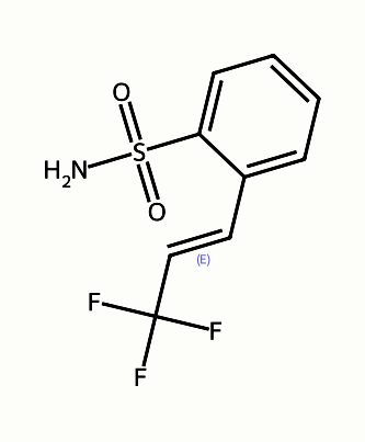 NS(=O)(=O)c1ccccc1/C=C/C(F)(F)F